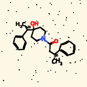 C[C@H](CC(=O)N1CCC(O)([C@H](C)c2cc[c]cc2)CC1)c1ccccc1